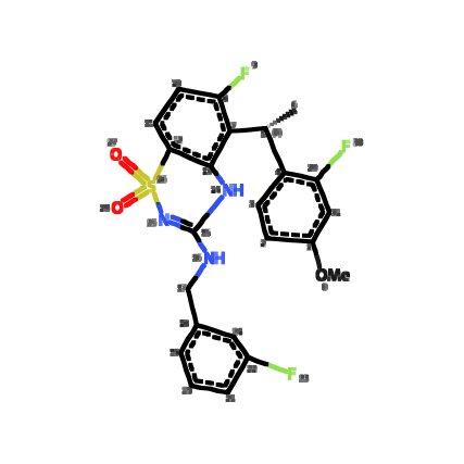 COc1ccc([C@@H](C)c2c(F)ccc3c2NC(NCc2cccc(F)c2)=NS3(=O)=O)c(F)c1